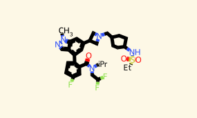 CCS(=O)(=O)NC1CCC(CN2CC(c3cc(-c4ccc(F)cc4C(=O)N(CC(F)F)C(C)C)c4cnn(C)c4c3)C2)CC1